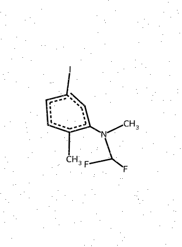 Cc1ccc(I)cc1N(C)C(F)F